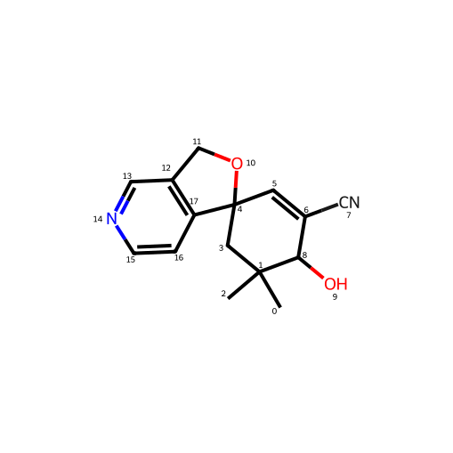 CC1(C)CC2(C=C(C#N)C1O)OCc1cnccc12